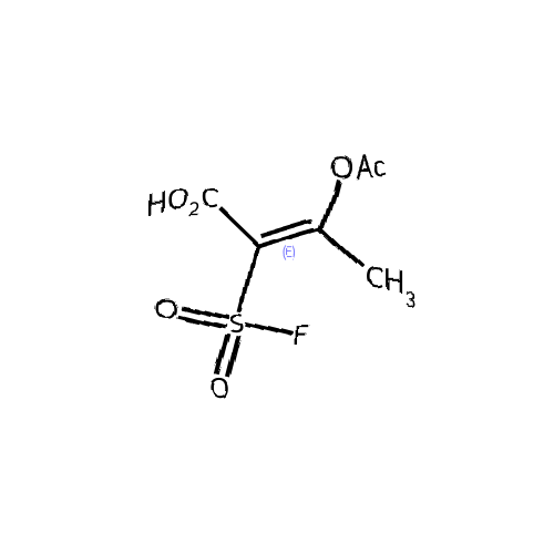 CC(=O)O/C(C)=C(\C(=O)O)S(=O)(=O)F